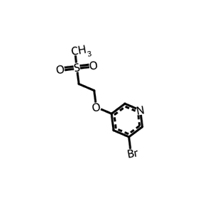 CS(=O)(=O)CCOc1cncc(Br)c1